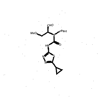 CCCCCN(C(=O)Nc1nnc(C2CC2)s1)C(C=O)COC